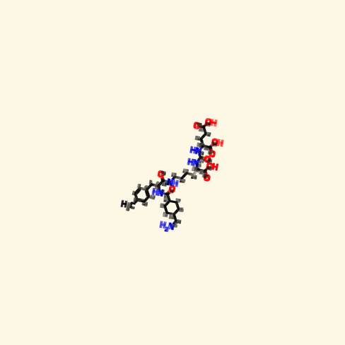 Cc1ccc(C[C@H](NC(=O)C2CCC(CN)CC2)C(=O)NCCCC[C@H](NC(=O)N[C@@H](CCC(=O)O)C(=O)O)C(=O)O)cc1